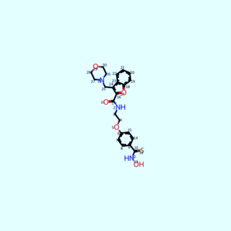 O=C(NCCOc1ccc(C(=S)NO)cc1)c1oc2ccccc2c1CN1CCOCC1